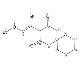 CCCC(=NOCC)C1C(=O)CC2(CCCCC2)CC1=O